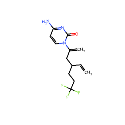 C=CC(CCC(F)(F)F)CC(=C)n1ccc(N)nc1=O